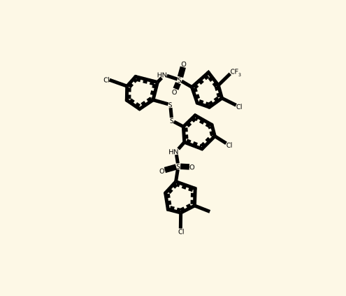 Cc1cc(S(=O)(=O)Nc2cc(Cl)ccc2SSc2ccc(Cl)cc2NS(=O)(=O)c2ccc(Cl)c(C(F)(F)F)c2)ccc1Cl